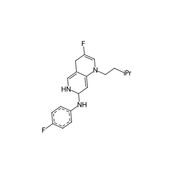 CC(C)CCN1C=C(F)CC2=CNC(Nc3ccc(F)cc3)C=C21